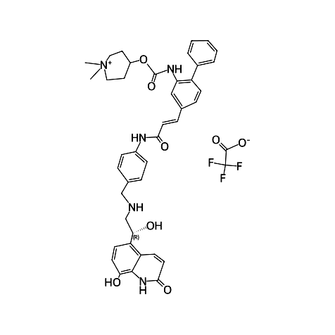 C[N+]1(C)CCC(OC(=O)Nc2cc(C=CC(=O)Nc3ccc(CNC[C@H](O)c4ccc(O)c5[nH]c(=O)ccc45)cc3)ccc2-c2ccccc2)CC1.O=C([O-])C(F)(F)F